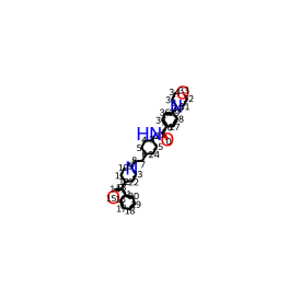 O=C(NC1CCC(CCN2CCC(c3coc4ccccc34)CC2)CC1)c1ccc(N2CCOCC2)cc1